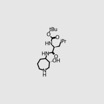 CC(C)C[C@H](NC(=O)OC(C)(C)C)C(=O)NC1CCCNC[C@H]1O